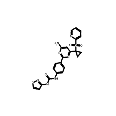 Nc1cc(C2(S(=O)(=O)c3ccccn3)CC2)nc(-c2ccc(NC(=O)Nc3ccon3)cc2)n1